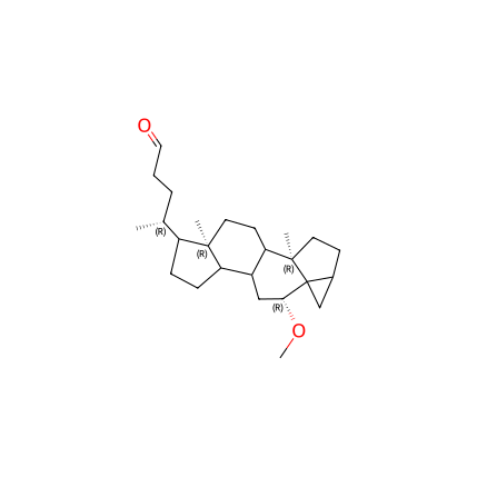 CO[C@@H]1CC2C3CCC([C@H](C)CCC=O)[C@@]3(C)CCC2[C@@]2(C)CCC3CC312